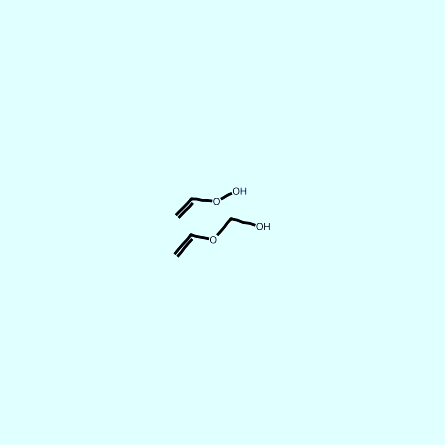 C=COCO.C=COO